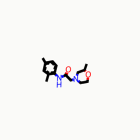 Cc1ccc(NC(=O)CN2CCOC(C)C2)c(C)c1